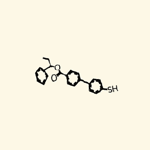 CC[C@@H](OC(=O)c1ccc(-c2ccc(S)cc2)cc1)c1ccccc1